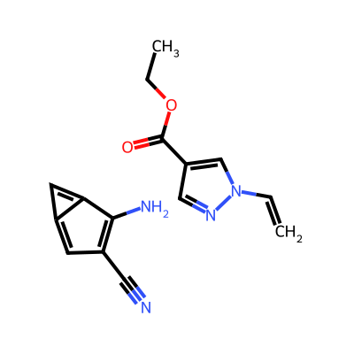 C=Cn1cc(C(=O)OCC)cn1.N#Cc1cc2cc-2c1N